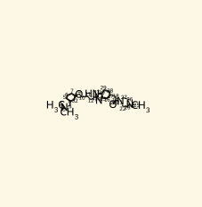 CN(C)Cc1cccc(OCCCc2nc3cc(CC(=O)N4CCN(C)CC4)ccc3[nH]2)c1